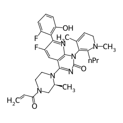 C=CC(=O)N1CCN(c2nc(=O)n(C3=C(CCC)N(C)CC=C3C)c3nc(-c4c(O)cccc4F)c(F)cc23)[C@@H](C)C1